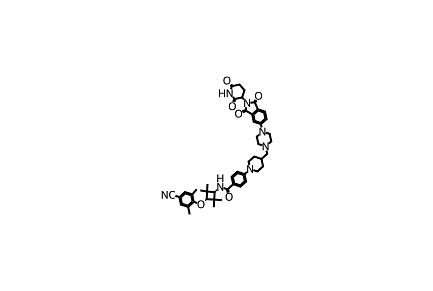 Cc1cc(C#N)cc(C)c1O[C@H]1C(C)(C)[C@H](NC(=O)c2ccc(N3CCC(CN4CCN(c5ccc6c(c5)C(=O)N(C5CCC(=O)NC5=O)C6=O)CC4)CC3)cc2)C1(C)C